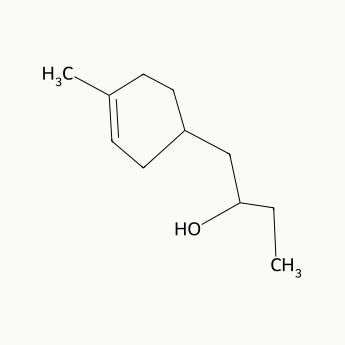 CCC(O)CC1CC=C(C)CC1